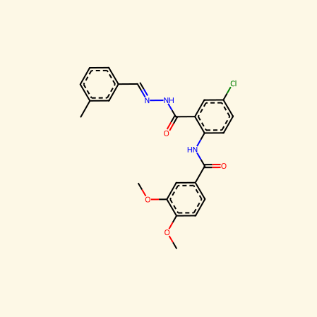 COc1ccc(C(=O)Nc2ccc(Cl)cc2C(=O)NN=Cc2cccc(C)c2)cc1OC